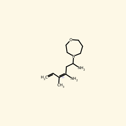 C=C/C(C)=C(/N)CC(N)N1CCCOCC1